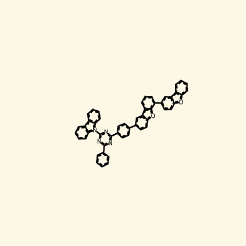 c1ccc(-c2nc(-c3ccc(-c4ccc5oc6c(-c7ccc8oc9ccccc9c8c7)cccc6c5c4)cc3)nc(-n3c4ccccc4c4ccccc43)n2)cc1